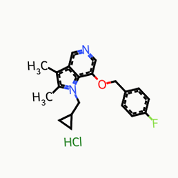 Cc1c(C)n(CC2CC2)c2c(OCc3ccc(F)cc3)cncc12.Cl